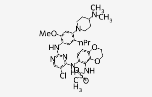 CCCc1cc(Nc2ncc(Cl)c(Nc3ccc4c(c3NS(C)(=O)=O)OCCO4)n2)c(OC)cc1N1CCC(N(C)C)CC1